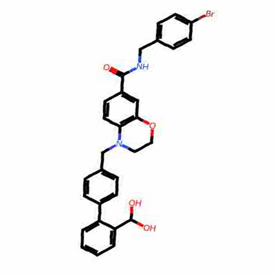 O=C(NCc1ccc(Br)cc1)c1ccc2c(c1)OCCN2Cc1ccc(-c2ccccc2C(O)O)cc1